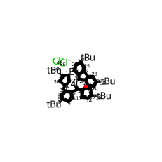 CCC1=[C]([Zr+2](=[C](c2ccc(C(C)(C)C)cc2)c2ccc(C(C)(C)C)cc2)[CH]2c3ccc(C(C)(C)C)cc3-c3cc(C(C)(C)C)ccc32)C(C)C=C1C(C)(C)C.[Cl-].[Cl-]